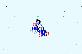 CC(C)(CNC(=O)N1CCOCC1)NCC(=O)N1C[C@@H](F)C[C@H]1C#N